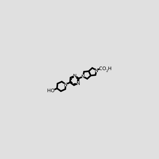 O=C(O)N1CC2CN(c3ncc(N4CCC(O)CC4)cn3)CC2C1